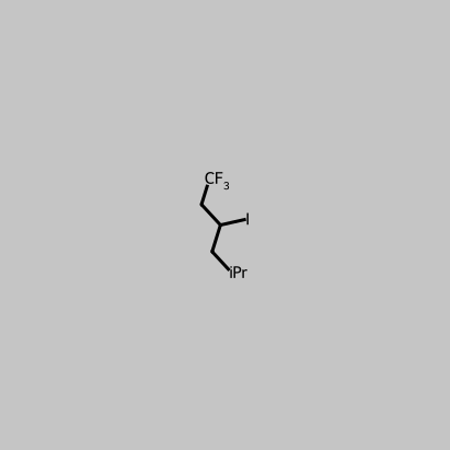 CC(C)CC(I)CC(F)(F)F